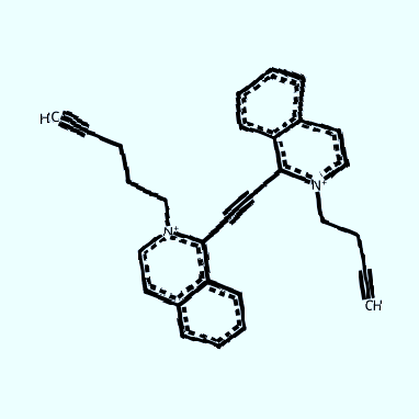 C#CCCC[n+]1ccc2ccccc2c1C#Cc1c2ccccc2cc[n+]1CCC#C